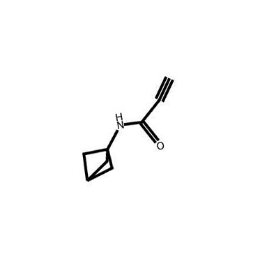 C#CC(=O)NC12CC(C1)C2